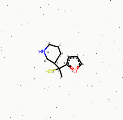 CC(S)(c1ccco1)C1CCCNC1